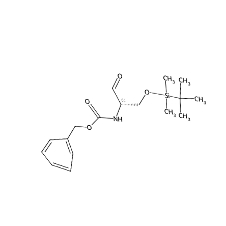 CC(C)(C)[Si](C)(C)OC[C@@H](C=O)NC(=O)OCc1ccccc1